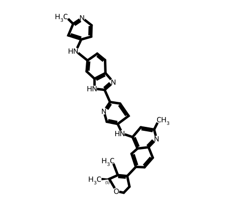 CC1=C(c2ccc3nc(C)cc(Nc4ccc(-c5nc6ccc(Nc7ccnc(C)c7)cc6[nH]5)nc4)c3c2)CCO[C@H]1C